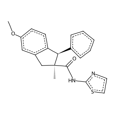 COc1ccc2c(c1)C[C@](C)(C(=O)Nc1nccs1)[C@@H]2c1ccccc1